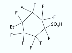 CCC1(F)C(F)(F)C(F)(F)C(F)(S(=O)(=O)O)C(F)(F)C1(F)F